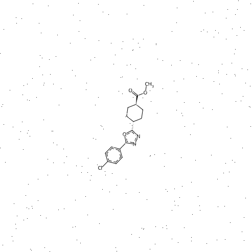 COC(=O)[C@H]1CC[C@H](c2nnc(-c3ccc(Cl)cc3)o2)CC1